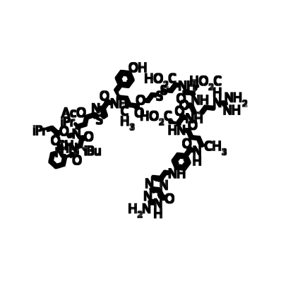 CCC(C)[C@H](NC(=O)[C@H]1CCCCN1C)C(=O)N(COC(=O)CC(C)C)[C@H](C[C@@H](OC(C)=O)c1nc(C(=O)N[C@@H](Cc2ccc(O)cc2)C[C@H](C)C(=O)OCCSSC[C@H](NC(=O)[C@H](CC(=O)O)NC(=O)[C@H](CCCNC(=N)N)NC(=O)[C@H](CC(=O)O)NC(=O)CC[C@@H](C)NC(=O)c2ccc(NCc3cnc4nc(N)[nH]c(=O)c4n3)cc2)C(=O)O)cs1)C(C)C